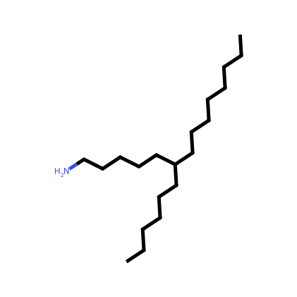 CCCCCCCCC(CCCCCC)CCCCCN